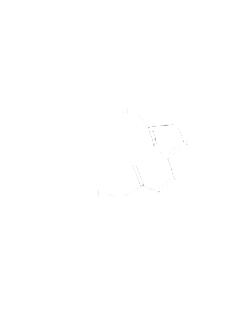 Cc1cc(/C=C\C(=O)OC(C)(C)C)no1